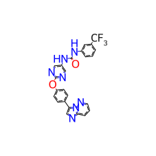 O=C(Nc1cnc(Oc2ccc(-c3cnc4cccnn34)cc2)nc1)Nc1cccc(C(F)(F)F)c1